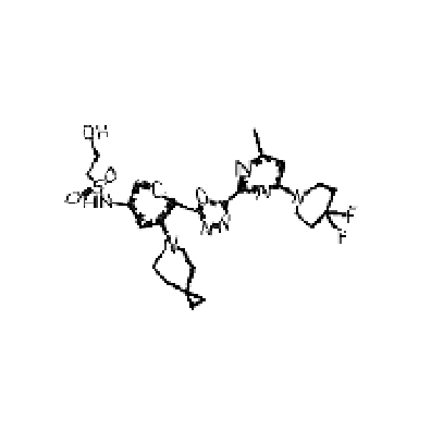 Cc1cc(N2CCC(F)(F)CC2)nc(-c2nnc(-c3ccc(NS(=O)(=O)CCO)cc3N3CCC4(CC3)CC4)o2)n1